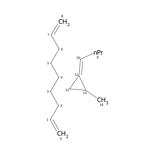 C=CCCCCCC=C.CCCC=C1CC1C